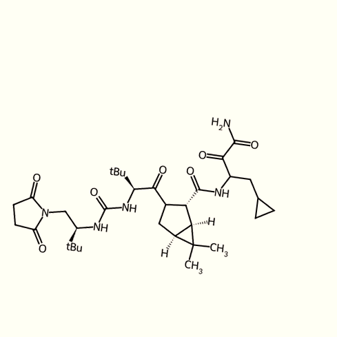 CC(C)(C)[C@H](NC(=O)N[C@H](CN1C(=O)CCC1=O)C(C)(C)C)C(=O)C1C[C@H]2[C@@H]([C@H]1C(=O)NC(CC1CC1)C(=O)C(N)=O)C2(C)C